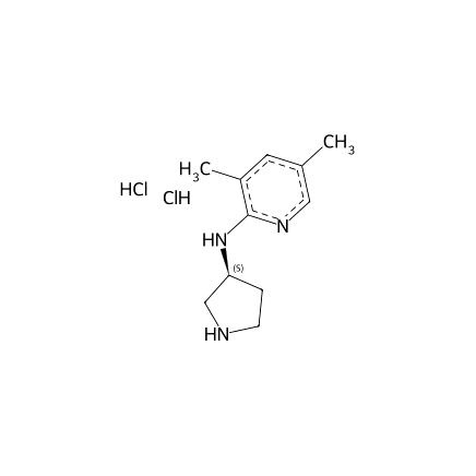 Cc1cnc(N[C@H]2CCNC2)c(C)c1.Cl.Cl